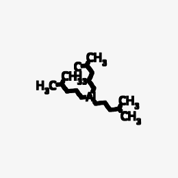 CC(C)CC[CH2][Al]([CH2]CCC(C)C)[CH2]CCC(C)C